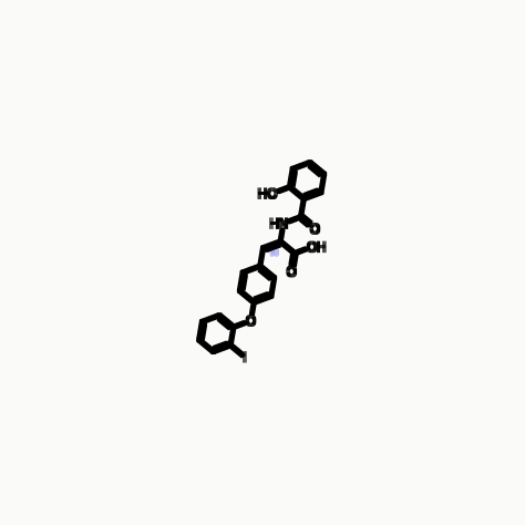 O=C(O)/C(=C\c1ccc(Oc2ccccc2I)cc1)NC(=O)c1ccccc1O